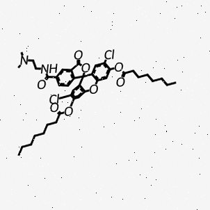 CCCCCCCC(=O)Oc1cc2c(cc1Cl)C1(OC(=O)c3cc(C(=O)NCCN(C)C)ccc31)c1cc(Cl)c(OC(=O)CCCCCCC)cc1O2